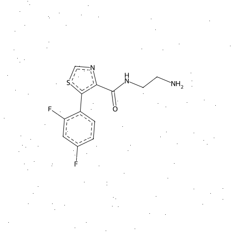 NCCNC(=O)c1ncsc1-c1ccc(F)cc1F